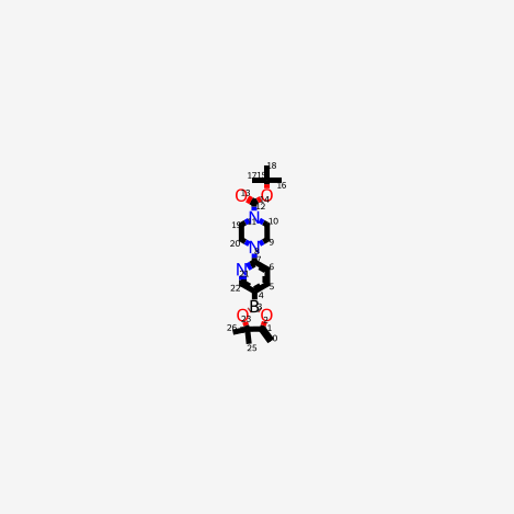 C=C1OB(c2ccc(N3CCN(C(=O)OC(C)(C)C)CC3)nc2)OC1(C)C